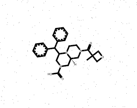 CC1(C(=O)N2CCN3C(C(c4ccccc4)c4ccccc4)CN(C(=O)O)C[C@@H]3C2)COC1